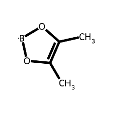 CC1=C(C)O[B]O1